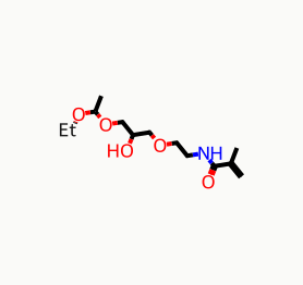 C=C(C)C(=O)NCCOCC(O)COC(C)OCC